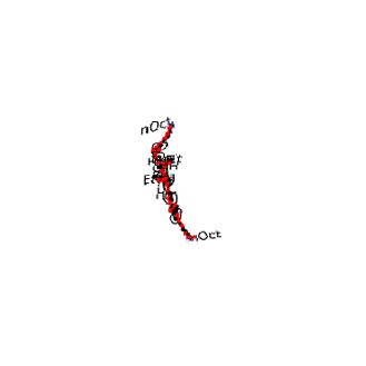 CCCCCCCC/C=C\CCCCCCCC(=O)Oc1ccc(CC(=O)OCCCOC(=O)C(CSSCC(NC(=O)CN(C)CC)C(=O)OCCOC(=O)Cc2ccc(OC(=O)CCCCCCC/C=C\CCCCCCCC)cc2)NC(=O)CN(C)CC)cc1